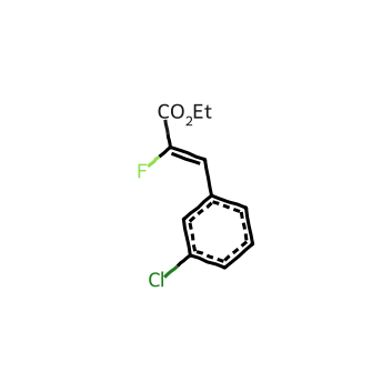 CCOC(=O)/C(F)=C/c1cccc(Cl)c1